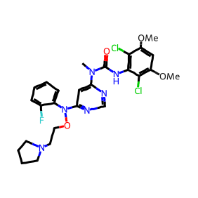 COc1cc(OC)c(Cl)c(NC(=O)N(C)c2cc(N(OCCN3CCCC3)c3ccccc3F)ncn2)c1Cl